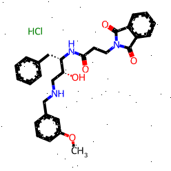 COc1cccc(CNC[C@@H](O)[C@H](Cc2ccccc2)NC(=O)CCN2C(=O)c3ccccc3C2=O)c1.Cl